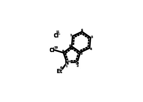 CC[n+]1sc2ccccc2c1Cl.[Cl-]